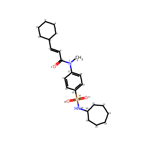 CN(C(=O)/C=C/C1CCCCC1)c1ccc(S(=O)(=O)NC2CCCCCC2)cc1